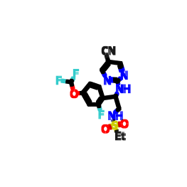 CCS(=O)(=O)NCC(Nc1ncc(C#N)cn1)c1ccc(OC(F)F)cc1F